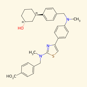 CN(Cc1ccc([C@@H]2CCC[C@@H](O)C2)cc1)c1ccc(-c2csc(N(C)Cc3ccc(C(=O)O)cc3)n2)cc1